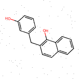 Oc1cccc(Cc2ccc3ccccc3c2O)c1